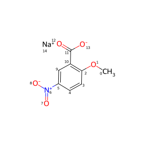 COc1ccc([N+](=O)[O-])cc1C(=O)[O-].[Na+]